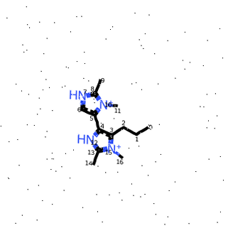 CCCc1c(-c2c[nH]c(C)[n+]2C)[nH]c(C)[n+]1C